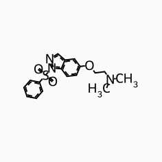 CN(C)CCOc1ccc2c(cnn2S(=O)(=O)c2ccccc2)c1